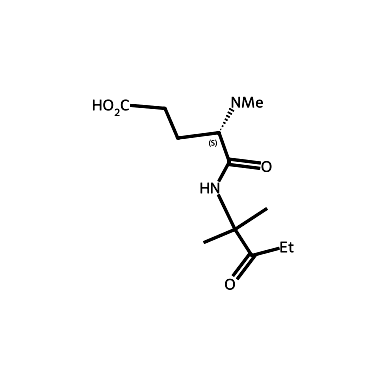 CCC(=O)C(C)(C)NC(=O)[C@H](CCC(=O)O)NC